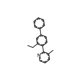 CCc1cc(-c2ccccc2)ccc1-c1ncccc1C